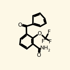 NC(=O)c1cccc(C(=O)c2ccccc2)c1OC(F)(F)F